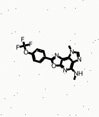 CNc1nc2oc(-c3ccc(OC(F)(F)F)cc3)nc2c2c1ncn2C